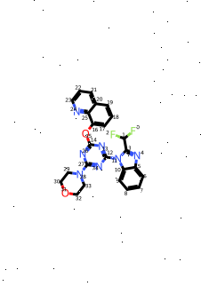 FC(F)c1nc2ccccc2n1-c1nc(Oc2cccc3cccnc23)nc(N2CCOCC2)n1